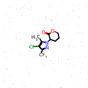 Cc1c(Cl)c(C(F)(F)F)nn1C1CCCOC1=O